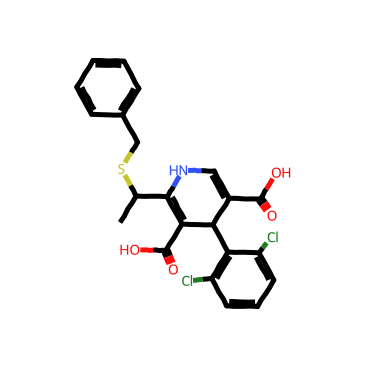 CC(SCc1ccccc1)C1=C(C(=O)O)C(c2c(Cl)cccc2Cl)C(C(=O)O)=CN1